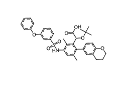 Cc1cc(NS(=O)(=O)c2cccc(Oc3ccccc3)c2)c(C)c(C(OC(C)(C)C)C(=O)O)c1-c1ccc2c(c1)CCCO2